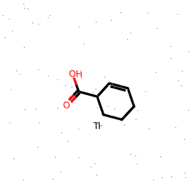 O=C(O)C1C=CCCC1.[Tl]